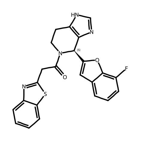 O=C(Cc1nc2ccccc2s1)N1CCc2[nH]cnc2[C@H]1c1cc2cccc(F)c2o1